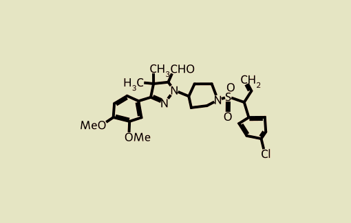 C=CC(c1ccc(Cl)cc1)S(=O)(=O)N1CCC(N2N=C(c3ccc(OC)c(OC)c3)C(C)(C)C2C=O)CC1